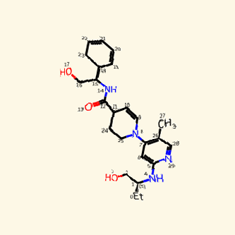 CC[C@@H](CO)Nc1cc(N2C=CC(C(=O)NC(CO)C3C=CC=CC3)CC2)c(C)cn1